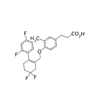 Cc1cc(CCC(=O)O)ccc1OCC1=C(c2ccc(F)cc2F)CCC(F)(F)C1